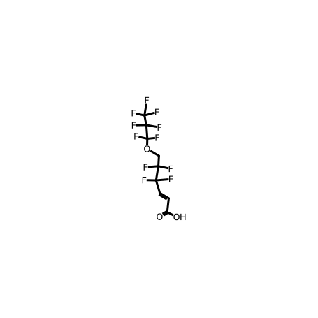 O=C(O)C=CC(F)(F)C(F)(F)COC(F)(F)C(F)(F)C(F)(F)F